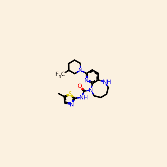 Cc1cnc(NC(=O)N2CCCCNc3ccc(N4CCCC(C(F)(F)F)C4)nc32)s1